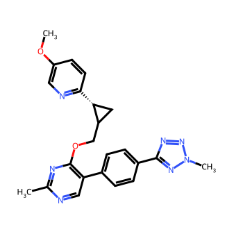 COc1ccc([C@@H]2CC2COc2nc(C)ncc2-c2ccc(-c3nnn(C)n3)cc2)nc1